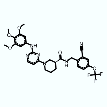 COc1cc(Nc2nccc(N3CCC[C@H](C(=O)NCc4ccc(OC(F)(F)F)cc4C#N)C3)n2)cc(OC)c1OC